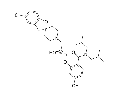 CC(C)CN(CC(C)C)C(=O)c1ccc(O)cc1OC[C@@H](O)CN1CCC2(CC1)Cc1cc(Cl)ccc1O2